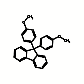 COc1ccc(C2(c3ccc(OC)cc3)c3ccccc3-c3ccccc32)cc1